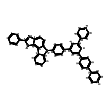 c1ccc(-c2nc3ccc4c(c5ccccc5n4-c4ccc(-c5cc(-c6ccc(-c7ccncc7)cc6)nc(-c6ccncc6)n5)cc4)c3o2)cc1